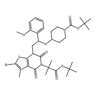 COc1ccccc1C(Cn1c(=O)n(C(C)(C)C(=O)OC(C)(C)C)c(=O)c2c(C)c(Br)sc21)OC1CCN(C(=O)OC(C)(C)C)CC1